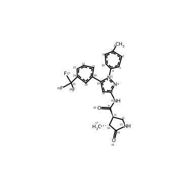 Cc1ccc(-n2nc(NC(=O)[C@H]3CNC(=O)[C@@H]3C)cc2-c2cccc(C(F)(F)F)c2)cc1